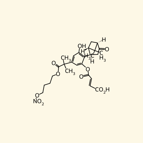 CC(C)(C(=O)OCCCCO[N+](=O)[O-])c1cc(O)c([C@@H]2CC(=O)[C@@H]3C[C@@H]2C3(C)C)c(OC(=O)/C=C/C(=O)O)c1